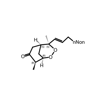 CCCCCCCCCCC=C[C@@]1(C)OO[C@@H]2C[C@H]1CC(=O)[C@@H]2C